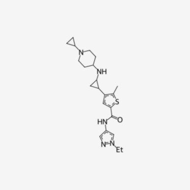 CCn1cc(NC(=O)c2cc(C3CC3NC3CCN(C4CC4)CC3)c(C)s2)cn1